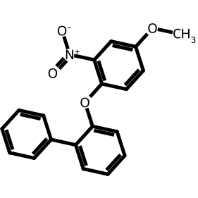 COc1ccc(Oc2ccccc2-c2ccccc2)c([N+](=O)[O-])c1